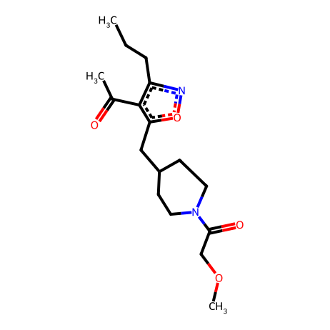 CCCc1noc(CC2CCN(C(=O)COC)CC2)c1C(C)=O